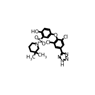 CC1(C)CCCN(S(=O)(=O)c2cc(Oc3c(Cl)cc(-c4nn[nH]n4)cc3Cl)ccc2O)C1